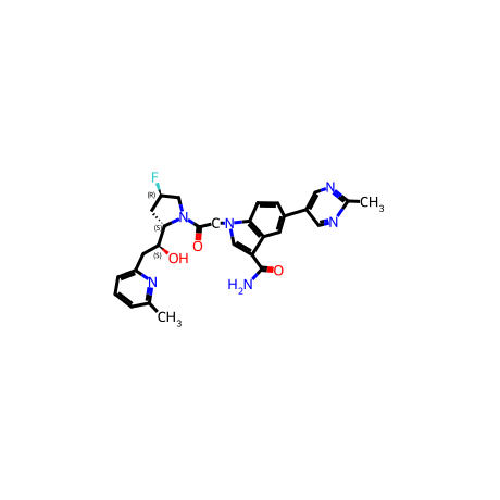 Cc1cccc(C[C@H](O)[C@@H]2C[C@@H](F)CN2C(=O)Cn2cc(C(N)=O)c3cc(-c4cnc(C)nc4)ccc32)n1